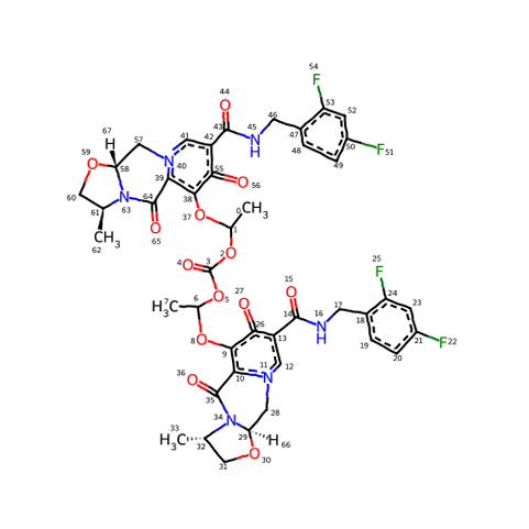 CC(OC(=O)OC(C)Oc1c2n(cc(C(=O)NCc3ccc(F)cc3F)c1=O)C[C@H]1OC[C@H](C)N1C2=O)Oc1c2n(cc(C(=O)NCc3ccc(F)cc3F)c1=O)C[C@H]1OC[C@H](C)N1C2=O